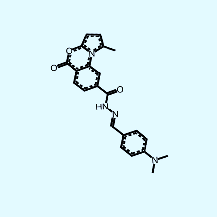 Cc1ccc2oc(=O)c3ccc(C(=O)N/N=C/c4ccc(N(C)C)cc4)cc3n12